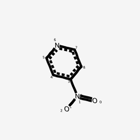 O=[N+]([O-])c1c[c]ncc1